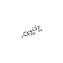 COc1ccc(CN(C2CC(C)N(C(=O)O)C2)S(C)(=O)=O)cc1